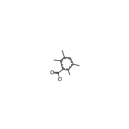 Cc1cc(C)c(C)c(C(=O)Cl)c1C